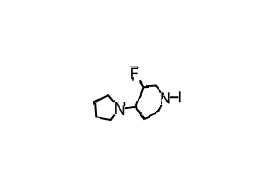 FC1CN(I)CCC1N1CCCC1